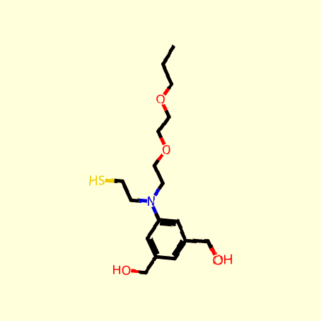 CCCOCCOCCN(CCS)c1cc(CO)cc(CO)c1